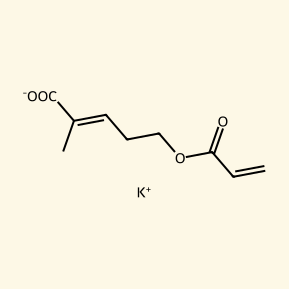 C=CC(=O)OCCC=C(C)C(=O)[O-].[K+]